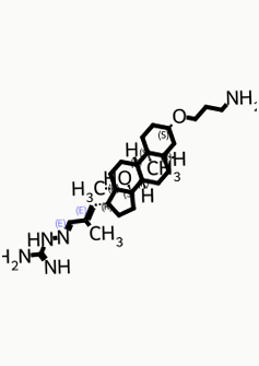 CC(/C=N/NC(=N)N)=C\[C@H]1CC[C@]2(O)[C@@H]3CC[C@@H]4C[C@@H](OCCCN)CC[C@]4(C)[C@H]3CC[C@]12C